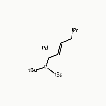 CC(C)CC=CCP(C(C)(C)C)C(C)(C)C.[Pd]